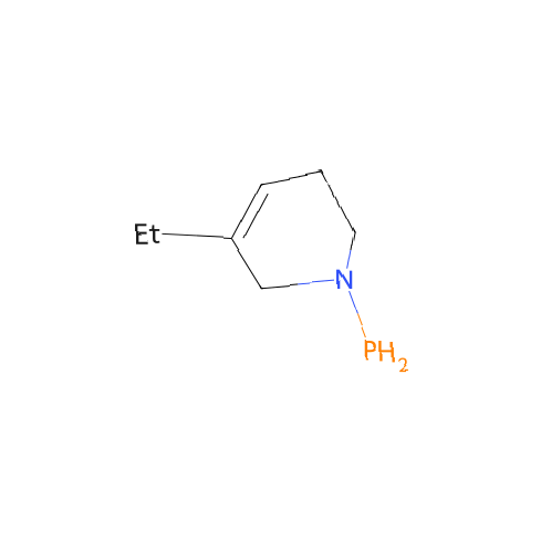 CCC1=CCCN(P)C1